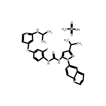 CC(C)Nc1cc(Oc2ccc(NC(=O)Nc3cc(C(C)C)nn3-c3ccc4ncccc4c3)c(F)c2)ccn1.CS(=O)(=O)O